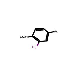 COc1ccc(C(C)=O)cc1P